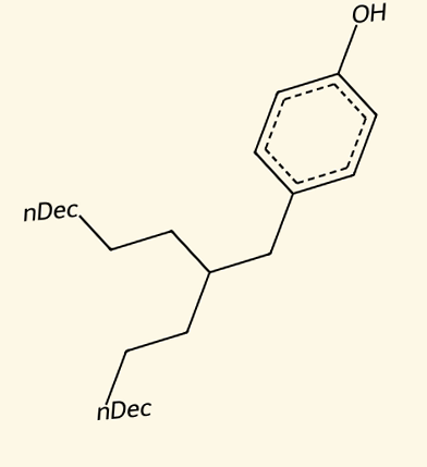 CCCCCCCCCCCCC(CCCCCCCCCCCC)Cc1ccc(O)cc1